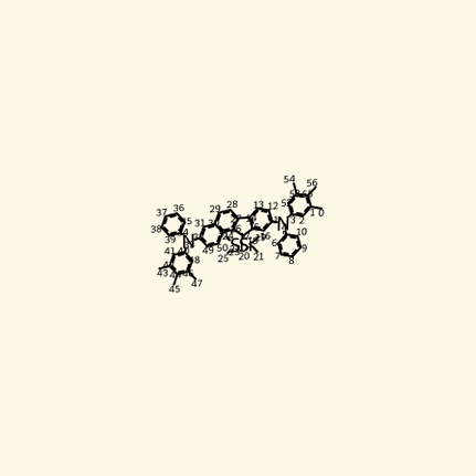 Cc1cc(N(c2ccccc2)c2ccc3c(c2)C([Si](C)(C)C)([Si](C)(C)C)c2c-3ccc3cc(N(c4ccccc4)c4cc(C)c(C)c(C)c4)ccc23)cc(C)c1C